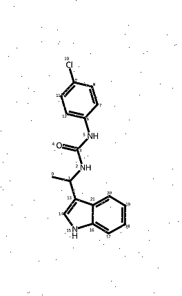 CC(NC(=O)Nc1ccc(Cl)cc1)c1c[nH]c2ccccc12